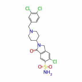 NS(=O)(=O)c1cc2c(cc1Cl)CN(C1CCN(Cc3ccc(Cl)c(Cl)c3)CC1)C2=O